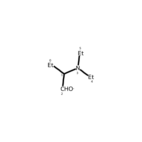 CCC([C]=O)N(CC)CC